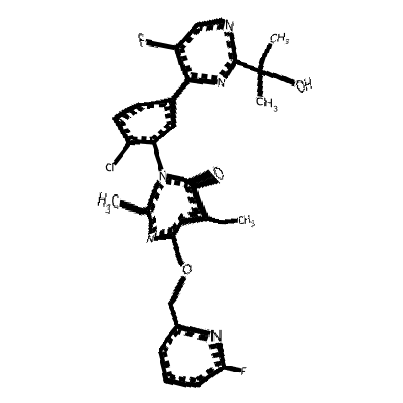 Cc1c(OCc2cccc(F)n2)nc(C)n(-c2cc(-c3nc(C(C)(C)O)ncc3F)ccc2Cl)c1=O